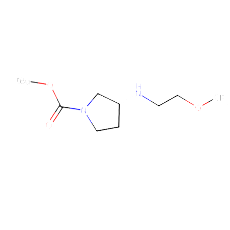 CC(C)(C)OC(=O)N1CC[C@@H](NCCOC(F)(F)F)C1